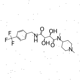 CN1CCC(N(C)C(=O)[C@H](O)[C@@H](O)C(=O)NCc2ccc(C(F)(F)F)cc2)CC1